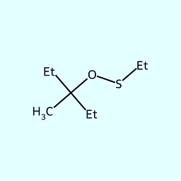 CCSOC(C)(CC)CC